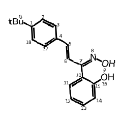 CC(C)(C)c1ccc(C=CC(=NO)c2ccccc2O)cc1